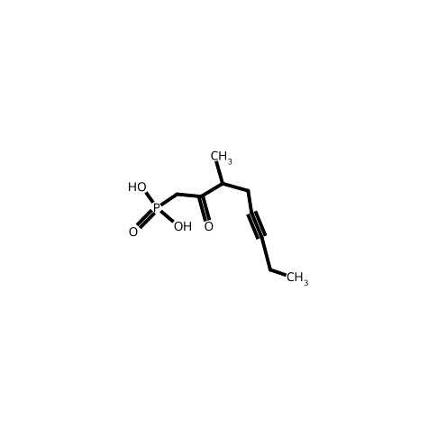 CCC#CCC(C)C(=O)CP(=O)(O)O